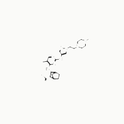 CN1CCN(CCn2cc(Nc3ncc(Cl)c(N[C@@H]4[C@H]5CC[C@H](C5)[C@@H]4C(N)=O)n3)cn2)CC1